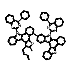 C=C/C=C\c1c(C)oc2c3c(-c4ccc5c6c7c8ccccc8sc7c7ccccc7c6n(-c6nc(-c7ccccc7)c7ccccc7n6)c5c4)cccc3c3c(c4ccccc4n3-c3nc(-c4ccccc4)c4ccccc4n3)c12